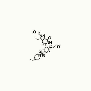 CCc1c2nc(-c3cc(S(=O)(=O)N4CCN(CC)CC4)cnc3OCCOC)[nH]c(=O)c2nn1C(C)COC